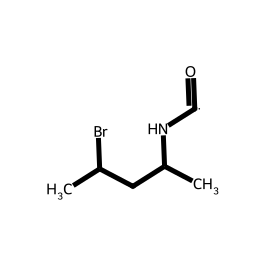 CC(Br)CC(C)N[C]=O